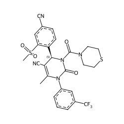 CC1=C(C#N)[C@@H](c2ccc(C#N)cc2S(C)(=O)=O)N(C(=O)N2CCSCC2)C(=O)N1c1cccc(C(F)(F)F)c1